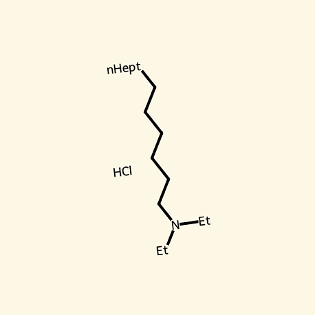 CCCCCCCCCCCCCN(CC)CC.Cl